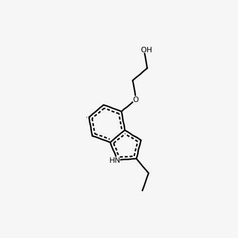 CCc1cc2c(OCCO)c[c]cc2[nH]1